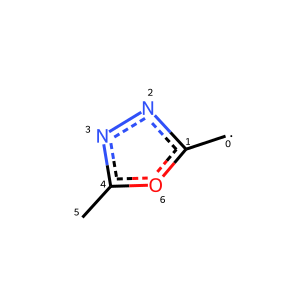 [CH2]c1nnc(C)o1